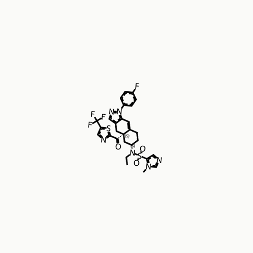 CCN([C@H]1CCC2=Cc3c(cnn3-c3ccc(F)cc3)C[C@]2(C(=O)c2ncc(C(F)(F)F)s2)C1)S(=O)(=O)c1cncn1C